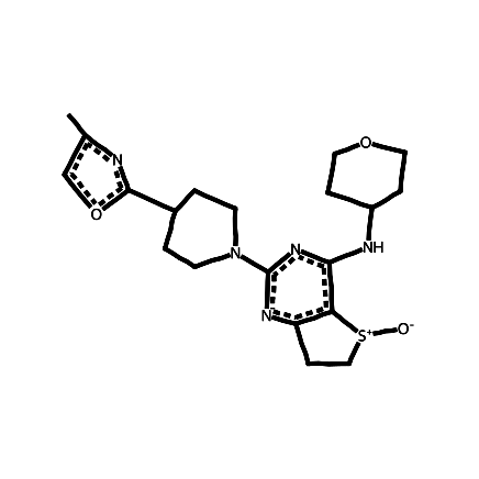 Cc1coc(C2CCN(c3nc4c(c(NC5CCOCC5)n3)[S+]([O-])CC4)CC2)n1